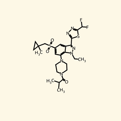 CCn1nc(-c2nnc(C(F)F)s2)c2cc(S(=O)(=O)CC3(C)CC3)cc(N3CCN(C(=O)C(C)C)CC3)c21